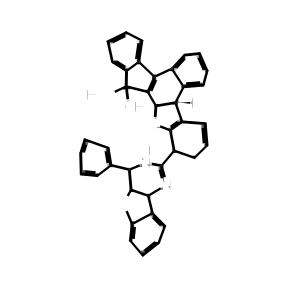 CC1(C)C2=C(c3ccccc3[C@@H]3C4=C(SC23)C(C2=NC3c5ccccc5SC3C(c3ccccc3)N2)CC=C4)c2ccccc21